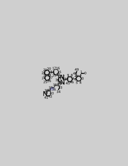 C=Cc1cccc(-c2ccc(-c3nc(C4=CCCC(c5cccc6ccccc56)=C4)cc(C(C=C)C/C=C/C4C=NC=CC4)n3)cc2)c1C=C